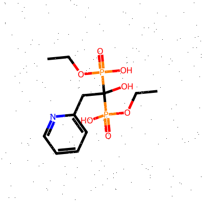 CCOP(=O)(O)C(O)(Cc1ccccn1)P(=O)(O)OCC